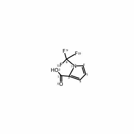 O=C(O)c1cccn1C(F)(F)F